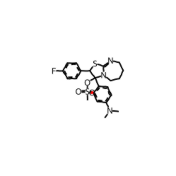 CN(C)c1ccc(C2(OS(C)(=O)=O)C(c3ccc(F)cc3)SC3=NCCCCN32)cc1